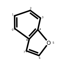 [c]1cccc2oc[c]c12